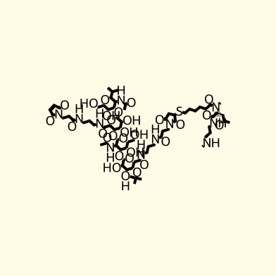 CNCCCNC(=O)[C@H](CC(C)=O)N(C)C(=O)CCCCCSC1CC(=O)N(CCC(=O)NCCCNC(=O)C2OC(OC3C(O)C(CO)OC(OC4C(C(=O)NCCCNC(=O)CCN5C(=O)C=CC5=O)OC(OC5C(O)C(CO)OC(C(C)C)C5NC(C)=O)C(O)C4O)C3NC(C)=O)C(O)C(O)C2OC(C)(C)C)C1=O